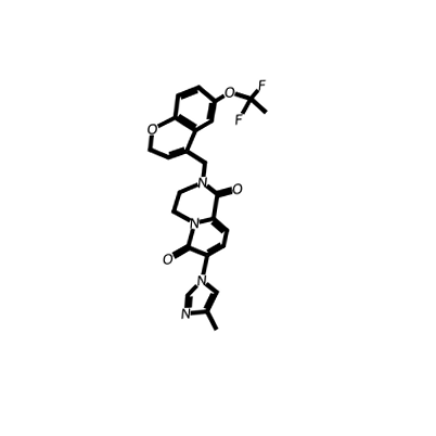 Cc1cn(-c2ccc3n(c2=O)CCN(CC2=CCOc4ccc(OC(C)(F)F)cc42)C3=O)cn1